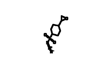 [N-]=[N+]=NS(=O)(=O)C1CCC(C2CO2)CC1